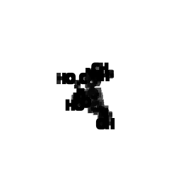 Cc1nc2c(C(=O)O)cc(-c3ccc(-c4cccc(CN5CC[C@@H](O)C5)c4)cc3)cc2[nH]1.O=C(O)C(F)(F)F